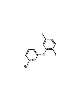 Cc1ccc(F)c(Oc2cccc(Br)c2)c1